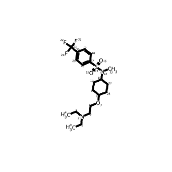 CCN(CC)CCOC1CCC(N(C)S(=O)(=O)c2ccc(C(F)(F)F)cc2)CC1